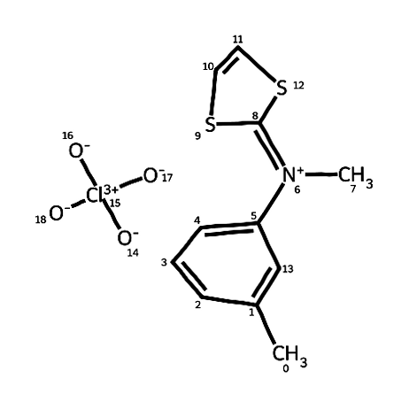 Cc1cccc([N+](C)=c2sccs2)c1.[O-][Cl+3]([O-])([O-])[O-]